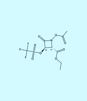 CCOC(=O)[C@@H]1[C@@H](OS(=O)(=O)C(F)(F)F)C(=O)N1OC(C)=O